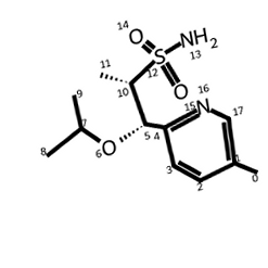 Cc1ccc([C@H](OC(C)C)[C@H](C)S(N)(=O)=O)nc1